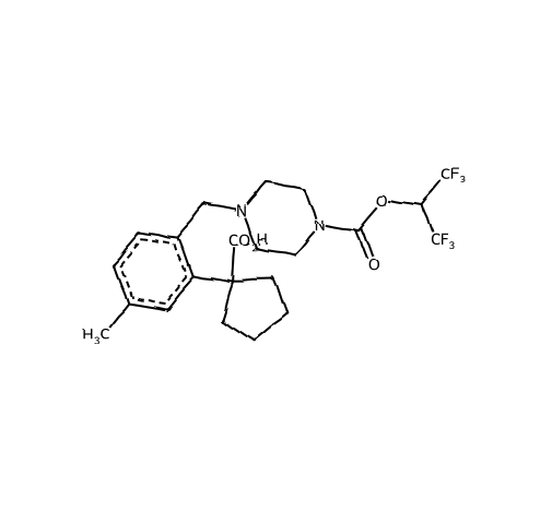 Cc1ccc(CN2CCN(C(=O)OC(C(F)(F)F)C(F)(F)F)CC2)c(C2(C(=O)O)CCCC2)c1